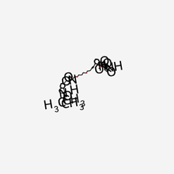 CC(C)(C)CC(=O)N1CCc2ccc(OCC(=O)NCCCCCCCCC#Cc3cccc4c3C(=O)N(C3CCC(=O)NC3=O)C4=O)cc2C1